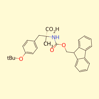 CC(C)(C)Oc1ccc(C[C@](C)(NC(=O)OCC2c3ccccc3-c3ccccc32)C(=O)O)cc1